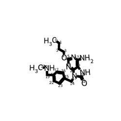 CCCCOc1nc(N)c2[nH]c(=O)n(Cc3ccc(CNC)cc3)c2n1